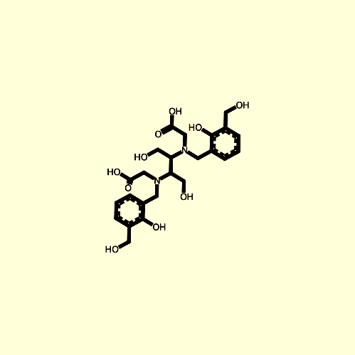 O=C(O)CN(Cc1cccc(CO)c1O)C(CO)C(CO)N(CC(=O)O)Cc1cccc(CO)c1O